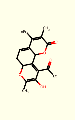 CCCC1=C(C)C(=O)OC2C1=CCC1OC(C)=C(O)C(C(=O)CC)=C12